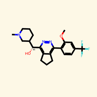 COc1cc(C(F)(F)F)ccc1-c1nnc([C@H](O)C2CCCN(C)C2)c2c1CCC2